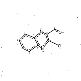 O=[C]c1nc2ccccc2nc1Cl